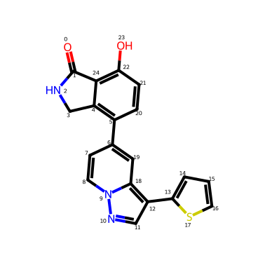 O=C1NCc2c(-c3ccn4ncc(-c5cccs5)c4c3)ccc(O)c21